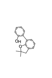 CC1(C)Cc2cccc(-c3ccccc3O)c2O1